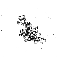 Cc1nc(C)c([C@H]([SH]2C[C@H](O)[C@H](n3cc(-c4cc(F)c(F)c(F)c4)nn3)[C@@H](O)[C@H]2CO)C2(O)CCCCC2)nc1C